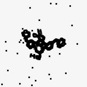 O=C1NCc2c1c1c3cc(CN4CCOCC4)ccc3n3c1c1c2c2cc(CN4CCOCC4)ccc2n1CC(CO)C3